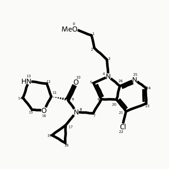 COCCCn1cc(CN(C(=O)[C@H]2CNCCO2)C2CC2)c2c(Cl)ccnc21